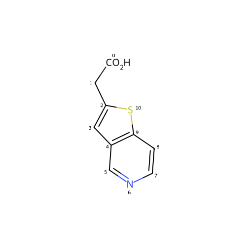 O=C(O)Cc1cc2cnccc2s1